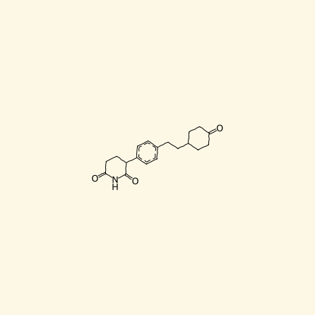 O=C1CCC(CCc2ccc(C3CCC(=O)NC3=O)cc2)CC1